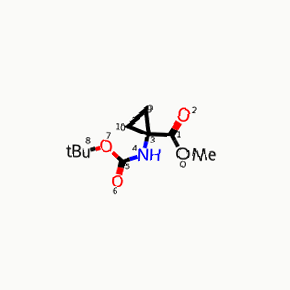 COC(=O)C1(NC(=O)OC(C)(C)C)CC1